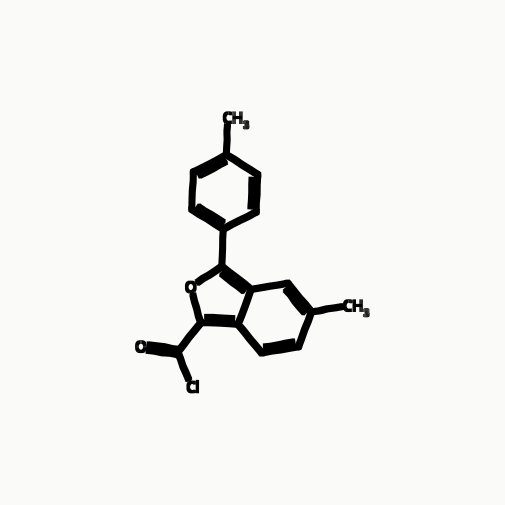 Cc1ccc(-c2oc(C(=O)Cl)c3ccc(C)cc23)cc1